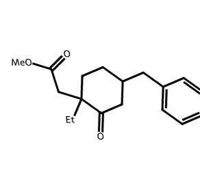 CCC1(CC(=O)OC)CCC(Cc2ccccc2)CC1=O